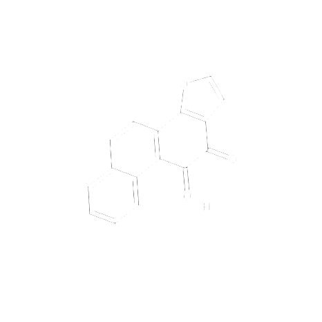 O=C1C(=O)c2c(ccc3ccccc23)-c2occc21.[H+]